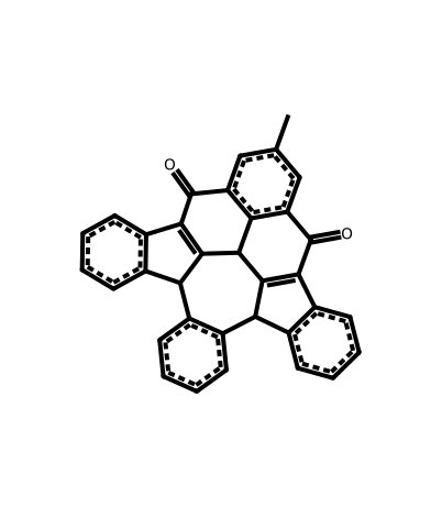 Cc1cc2c3c(c1)C(=O)C1=C4C3C3=C(C2=O)c2ccccc2C3c2ccccc2C4c2ccccc21